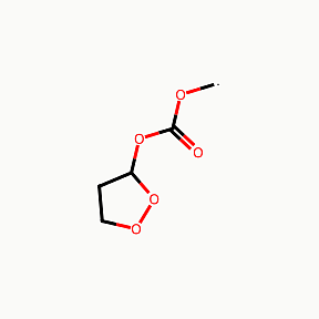 [CH2]OC(=O)OC1CCOO1